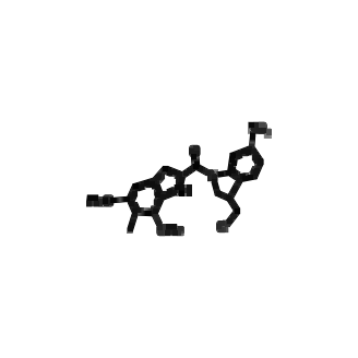 COc1cc2cc(C(=O)N3CC(CCl)c4ccc([N+](=O)[O-])cc43)[nH]c2c(OC)c1C